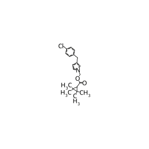 CC1(C)C(C(=O)OCn2ccc(Cc3ccc(Cl)cc3)c2)C1(C)C